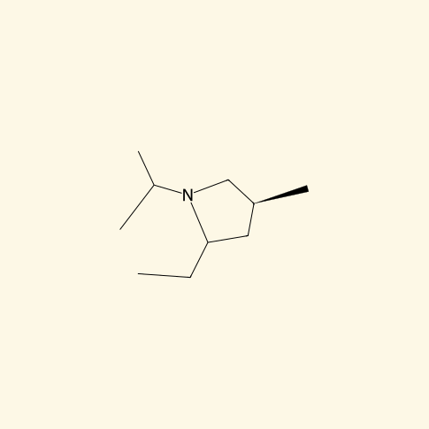 CCC1C[C@H](C)CN1C(C)C